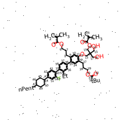 C=C(C)C(=O)OCCCc1cc(OCC(CO)(CO)COC(=O)C(=C)C)c(CCCOC(=O)C(C)(C)C)cc1-c1ccc(-c2ccc(C3CCC(CCCCC)CC3)cc2F)c(CC)c1